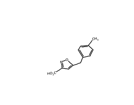 Cc1ccc(Cc2cc(C(=O)O)no2)cc1